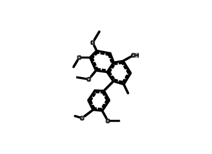 COc1ccc(-c2c(C)cc(O)c3cc(OC)c(OC)c(OC)c23)cc1OC